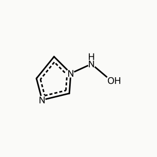 ONn1ccnc1